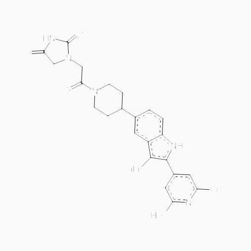 Cc1cc(-c2[nH]c3ccc(C4CCN(C(=O)CN5CC(=O)NC5=O)CC4)cc3c2C(C)C)cc(C)n1